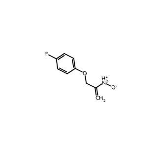 C=C(COc1ccc(F)cc1)[NH2+][O-]